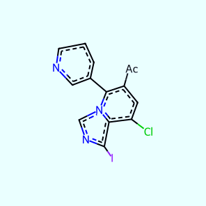 CC(=O)c1cc(Cl)c2c(I)ncn2c1-c1cccnc1